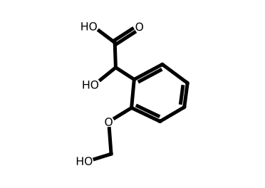 O=C(O)C(O)c1ccccc1OCO